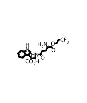 N[C@H](CCC(=O)N[C@H](Cc1c[nH]c2ccccc12)C(=O)O)C(=O)OCCC(F)(F)F